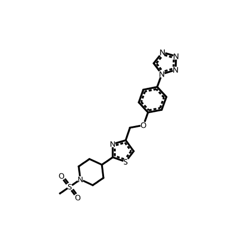 CS(=O)(=O)N1CCC(c2nc(COc3ccc(-n4cnnn4)cc3)cs2)CC1